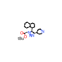 CC(C)(C)OC(=O)Cn1nnc(-c2ccncc2)c1-c1cccc2ccccc12